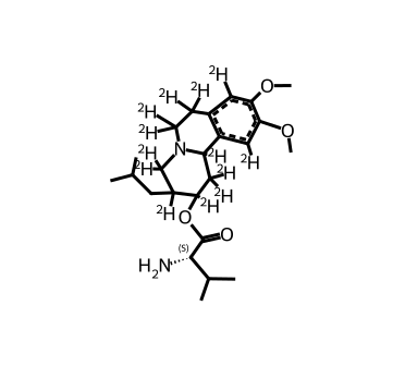 [2H]c1c(OC)c(OC)c([2H])c2c1C([2H])([2H])C([2H])([2H])N1C([2H])([2H])C([2H])(CC(C)C)C([2H])(OC(=O)[C@@H](N)C(C)C)C([2H])([2H])C21[2H]